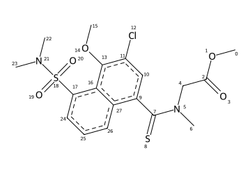 COC(=O)CN(C)C(=S)c1cc(Cl)c(OC)c2c(S(=O)(=O)N(C)C)cccc12